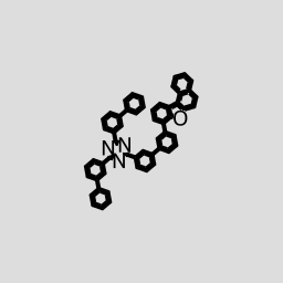 c1ccc(-c2cccc(-c3nc(-c4cccc(-c5ccccc5)c4)nc(-c4cccc(-c5cccc(-c6cccc7c6oc6ccc8ccccc8c67)c5)c4)n3)c2)cc1